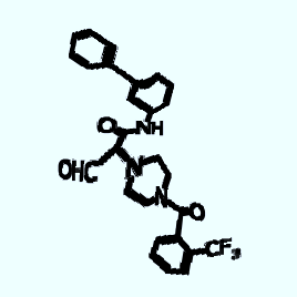 O=CC(C(=O)Nc1cccc(-c2ccccc2)c1)N1CCN(C(=O)c2ccccc2C(F)(F)F)CC1